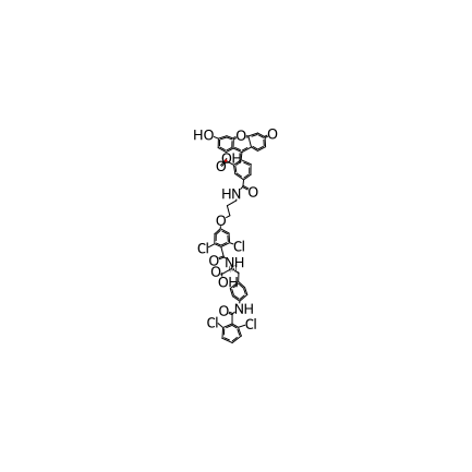 O=C(NCCCOc1cc(Cl)c(C(=O)N[C@@H](Cc2ccc(NC(=O)c3c(Cl)cccc3Cl)cc2)C(=O)O)c(Cl)c1)c1ccc(-c2c3ccc(=O)cc-3oc3cc(O)ccc23)c(C(=O)O)c1